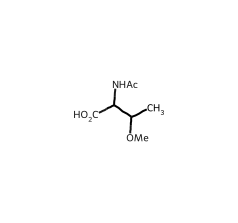 COC(C)C(NC(C)=O)C(=O)O